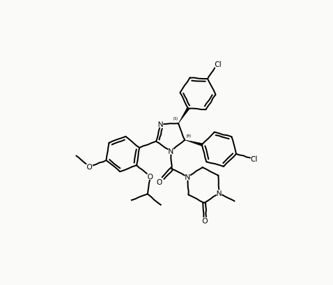 COc1ccc(C2=N[C@@H](c3ccc(Cl)cc3)[C@@H](c3ccc(Cl)cc3)N2C(=O)N2CCN(C)C(=O)C2)c(OC(C)C)c1